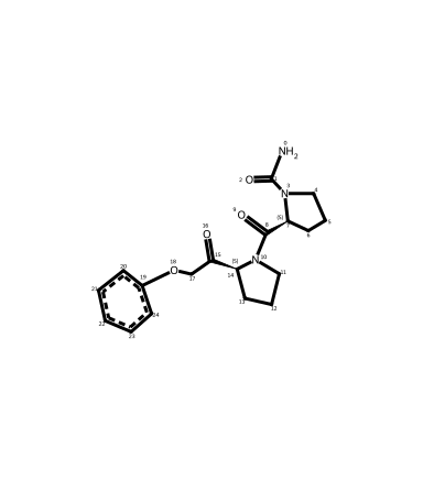 NC(=O)N1CCC[C@H]1C(=O)N1CCC[C@H]1C(=O)COc1ccccc1